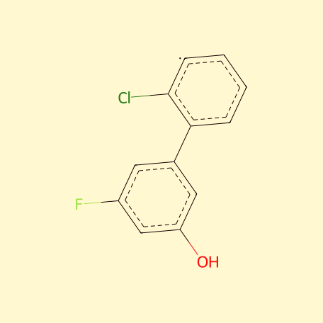 Oc1cc(F)cc(-c2ccc[c]c2Cl)c1